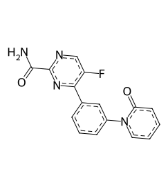 NC(=O)c1ncc(F)c(-c2cccc(-n3ccccc3=O)c2)n1